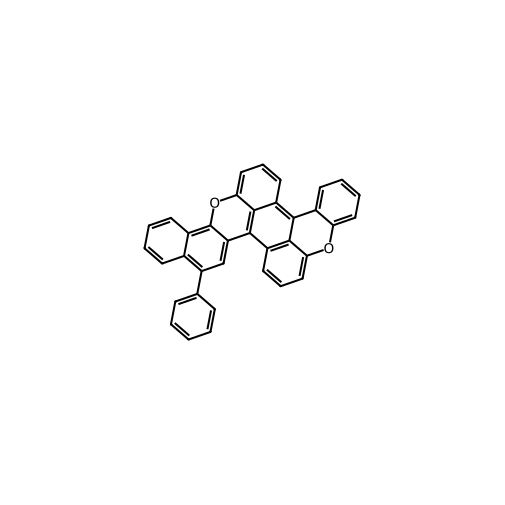 c1ccc(-c2cc3c(oc4cccc5c4c3c3cccc4oc6ccccc6c5c43)c3ccccc23)cc1